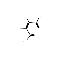 CCCCCCCC/C(C(=O)OCC(C)C)=C(\CCCC)C(=O)OCC(C)C